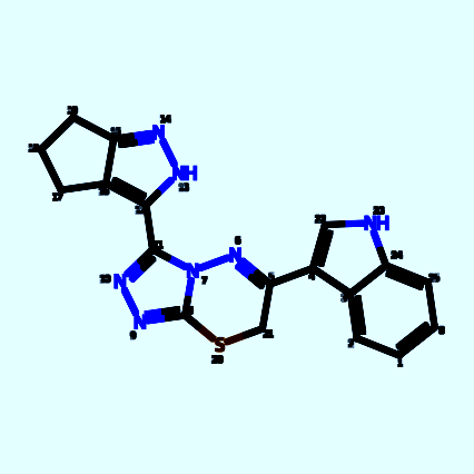 c1ccc2c(C3=Nn4c(nnc4-c4[nH]nc5c4CCC5)SC3)c[nH]c2c1